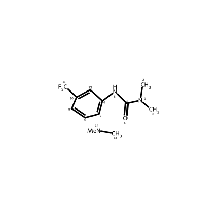 CN(C)C(=O)Nc1cccc(C(F)(F)F)c1.CNC